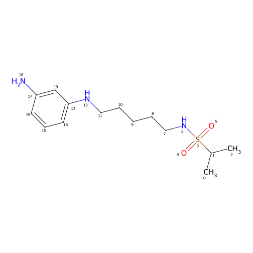 CC(C)S(=O)(=O)NCCCCCNc1cccc(N)c1